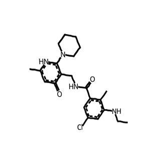 CCNc1cc(Cl)cc(C(=O)NCc2c(N3CCCCC3)[nH]c(C)cc2=O)c1C